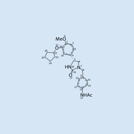 COc1ccc([C@@H]2CN(Cc3ccc(NC(C)=O)cc3)C(=O)N2)cc1OC1CCCC1